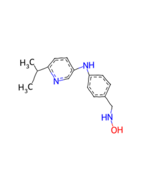 CC(C)c1ccc(Nc2ccc(CNO)cc2)cn1